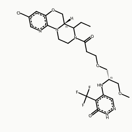 CCC1[C@H]2COc3cc(Cl)cnc3N2CCN1C(=O)CCOC[C@H](COC)Nc1cn[nH]c(=O)c1C(F)(F)F